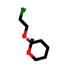 BrCCO[C@@H]1CCCCO1